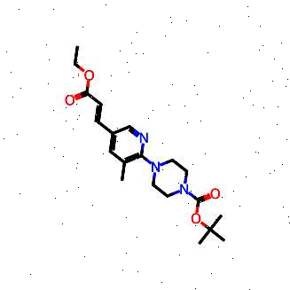 CCOC(=O)C=Cc1cnc(N2CCN(C(=O)OC(C)(C)C)CC2)c(C)c1